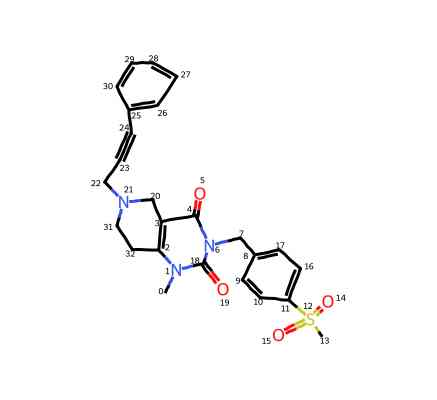 Cn1c2c(c(=O)n(Cc3ccc(S(C)(=O)=O)cc3)c1=O)CN(CC#Cc1ccccc1)CC2